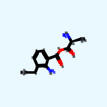 CCc1cccc(C(=O)OC(=O)[C@H](C)N)c1N